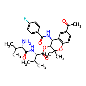 CC(=O)c1ccc2c(c1)[C@H](NC(=O)c1ccc(F)cc1)[C@@H](OC(=O)[C@@H](NC(=O)[C@@H](N)C(C)C)C(C)C)C(C)(C)O2